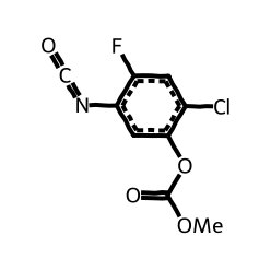 COC(=O)Oc1cc(N=C=O)c(F)cc1Cl